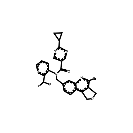 O=C(c1cnc(C2CC2)nc1)N(Cc1ccc2c3c(c(Br)nc2c1)COC3)c1cccnc1C(F)F